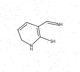 N=CC1=C(S)NCC=C1